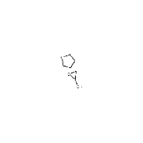 C1CCOC1.OC1CO1